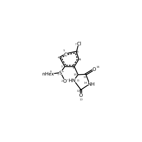 CCCCCC[S+]([O-])c1ccc(Cl)cc1C1NC(=O)NC1=O